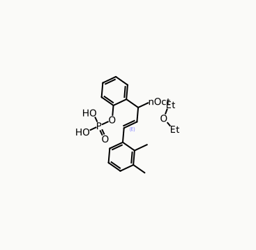 CCCCCCCCC(/C=C/c1cccc(C)c1C)c1ccccc1OP(=O)(O)O.CCOCC